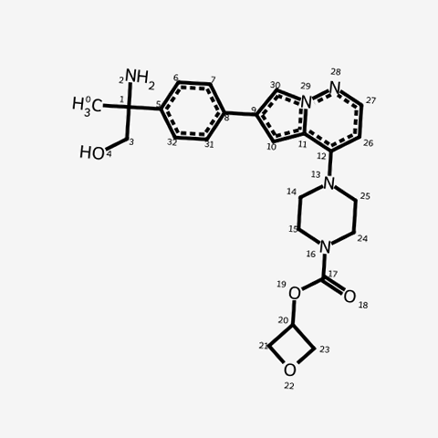 CC(N)(CO)c1ccc(-c2cc3c(N4CCN(C(=O)OC5COC5)CC4)ccnn3c2)cc1